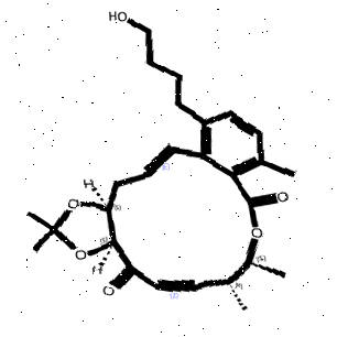 Cc1ccc(CCCCO)c2c1C(=O)O[C@@H](C)[C@H](C)/C=C\C(=O)[C@H]1OC(C)(C)O[C@H]1C/C=C/2